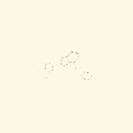 CC1(C)Cc2cc(-c3nc4c(C(=O)Nc5ccccn5)cccc4[nH]3)ccc2O1